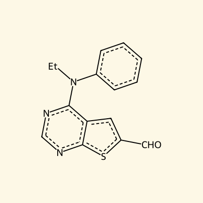 CCN(c1ccccc1)c1ncnc2sc(C=O)cc12